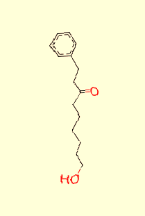 O=C(CCCCCCO)CCc1ccccc1